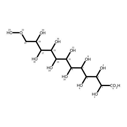 O=C(O)C(O)C(O)C(O)C(O)C(O)C(O)C(O)C(O)C(O)C(O)COO